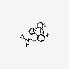 Fc1ccc(CCNC2CC2)c(-c2cccn2[C@H]2CC=NN2)c1